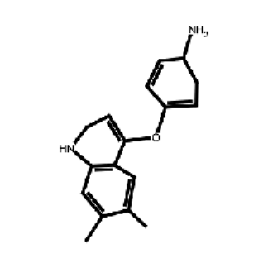 Cc1cc2c(cc1C)C(OC1=CCC(N)C=C1)=CCN2